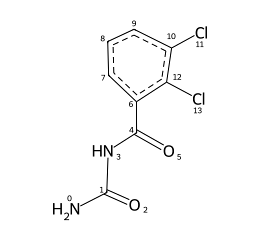 NC(=O)NC(=O)c1cccc(Cl)c1Cl